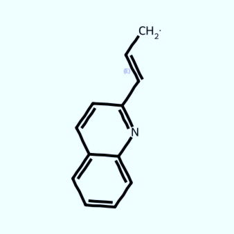 [CH2]/C=C/c1ccc2ccccc2n1